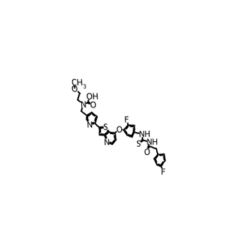 COCCN(Cc1ccc(-c2cc3nccc(Oc4ccc(NC(=S)NC(=O)Cc5ccc(F)cc5)cc4F)c3s2)nc1)C(=O)O